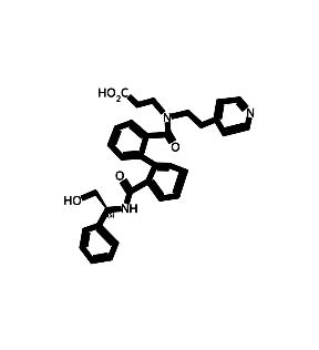 O=C(O)CCN(CCc1ccncc1)C(=O)c1ccccc1-c1ccccc1C(=O)N[C@H](CO)c1ccccc1